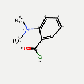 CN(C)c1ccccc1C(=O)Cl